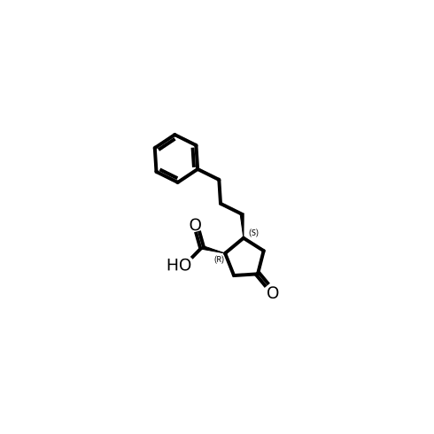 O=C1C[C@H](CCCc2ccccc2)[C@H](C(=O)O)C1